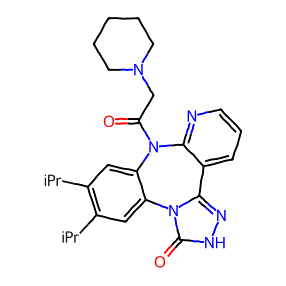 CC(C)c1cc2c(cc1C(C)C)-n1c(n[nH]c1=O)-c1cccnc1N2C(=O)CN1CCCCC1